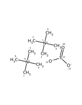 C[N+](C)(C)C.C[N+](C)(C)C.[O]=[Ti]([O-])[O-]